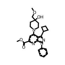 COCC1(O)CCN(c2cc(C(=O)OC)nc3c2c(C2CCC2)nn3-c2ccccc2)CC1